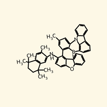 Cc1cc(-c2c(Nc3cc4c(cc3C)C(C)(C)CCC4(C)C)ccc3oc4ccccc4c23)c2c(c1)-n1c3ccccc3c3cccc(c31)B2